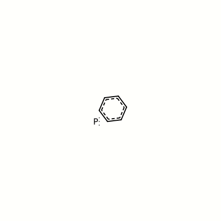 [P].c1ccccc1